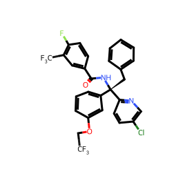 O=C(N[C@@](Cc1ccccc1)(c1cccc(OCC(F)(F)F)c1)c1ccc(Cl)cn1)c1ccc(F)c(C(F)(F)F)c1